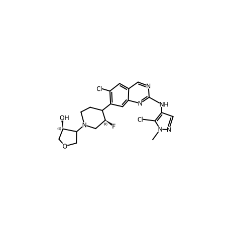 Cn1ncc(Nc2ncc3cc(Cl)c(C4CCN(C5COC[C@H]5O)C[C@@H]4F)cc3n2)c1Cl